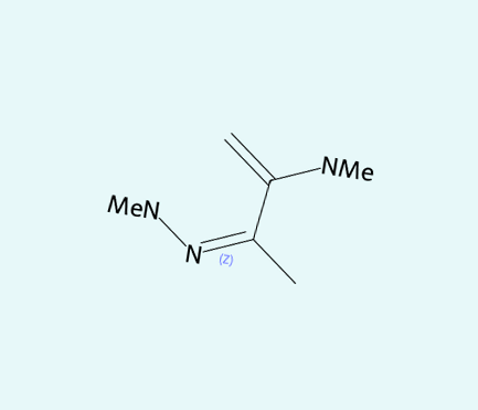 C=C(NC)/C(C)=N\NC